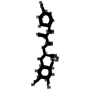 N[C@H](CNC(=S)Nc1ccc(F)cc1)Cc1cc(F)c(F)cc1F